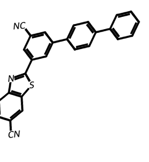 N#Cc1cc(-c2ccc(-c3ccccc3)cc2)cc(-c2nc3ccc(C#N)cc3s2)c1